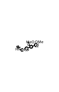 COCOc1cc(-c2cnnc(OC)c2)ccc1-c1ccc(N2CCC(NC3(C)CCC3)C2)nn1